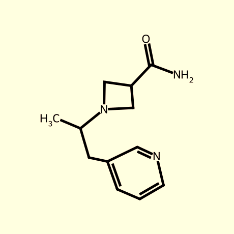 CC(Cc1cccnc1)N1CC(C(N)=O)C1